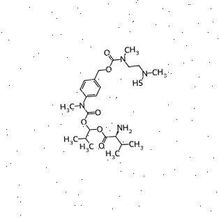 CC(C)C(OC(=O)[C@@H](N)C(C)C)OC(=O)N(C)c1ccc(COC(=O)N(C)CCN(C)S)cc1